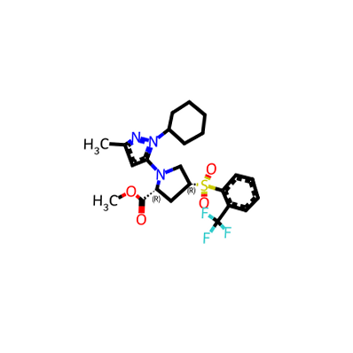 COC(=O)[C@H]1C[C@@H](S(=O)(=O)c2ccccc2C(F)(F)F)CN1c1cc(C)nn1C1CCCCC1